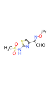 CC(C)ON=C(C=O)c1csc(NS(C)(=O)=O)n1